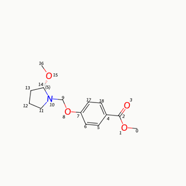 COC(=O)c1ccc(OCN2CCC[C@@H]2OC)cc1